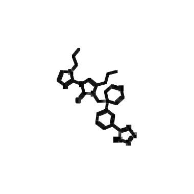 CCCc1cn(-c2nccn2CCC)c(=O)n1CC1(c2cccc(-c3nnn[nH]3)c2)C=CN=CC1